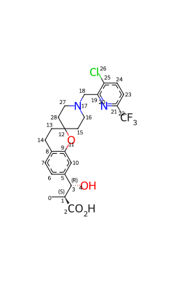 C[C@H](C(=O)O)[C@@H](O)c1ccc2c(c1)OC1(CC2)CCN(Cc2nc(C(F)(F)F)ccc2Cl)CC1